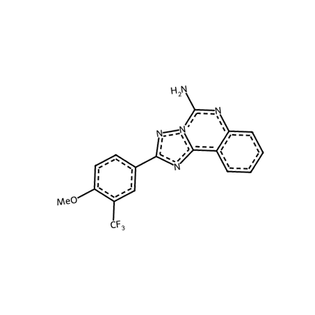 COc1ccc(-c2nc3c4ccccc4nc(N)n3n2)cc1C(F)(F)F